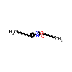 CCCCCCCCCc1ccc(-c2ncc(OC(=O)CCCCCCCC)cn2)cc1